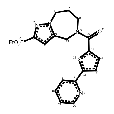 CCOC(=O)c1cc2n(n1)CCCN(C(=O)c1ccc(-c3ccccn3)s1)C2